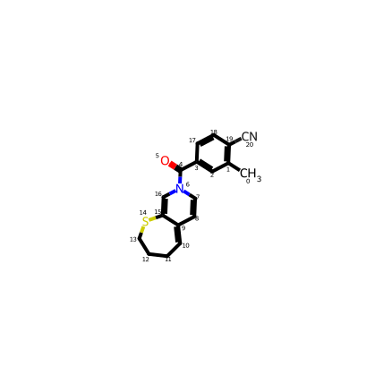 Cc1cc(C(=O)N2C=CC3=CCCCSC3=C2)ccc1C#N